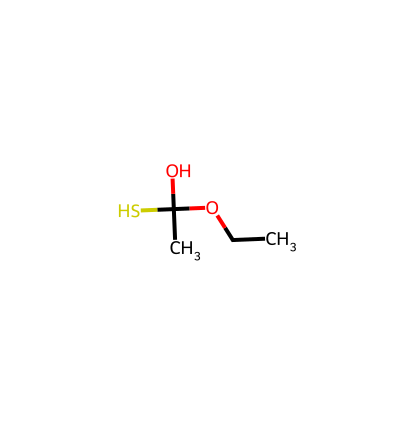 CCOC(C)(O)S